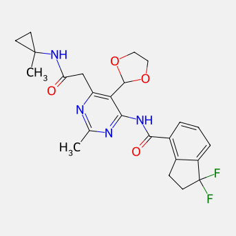 Cc1nc(CC(=O)NC2(C)CC2)c(C2OCCO2)c(NC(=O)c2cccc3c2CCC3(F)F)n1